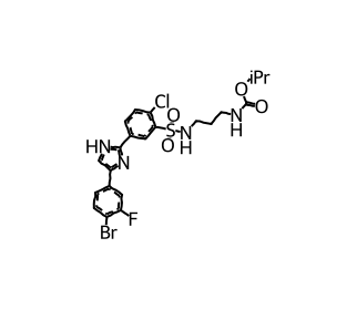 CC(C)OC(=O)NCCCNS(=O)(=O)c1cc(-c2nc(-c3ccc(Br)c(F)c3)c[nH]2)ccc1Cl